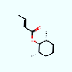 C/C=C/C(=O)O[C@H]1[C@H](C)CCC[C@@H]1C